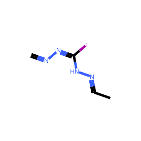 C=N/N=C(/I)N/N=C/C